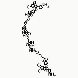 N[C@@H]1CCCN([C@H]2Cc3c(Cl)cc(Cl)cc3[C@@H]2Oc2ccc(S(=O)(=O)NCCOCCOCCn3cc(CNC(=O)NCCCCNC(=O)NCc4cn(CCOCCOCCNS(=O)(=O)c5ccc(O[C@H]6c7cc(Cl)cc(Cl)c7C[C@@H]6N6CCC[C@@H](N)C6)cc5)nn4)nn3)cc2)C1